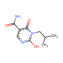 CC(C)Cn1c(O)ncc(C(N)=O)c1=O